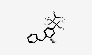 CC(N)(C(N)=O)C(C)(N)c1ccc(Cc2ccccc2)cc1.Cl.Cl